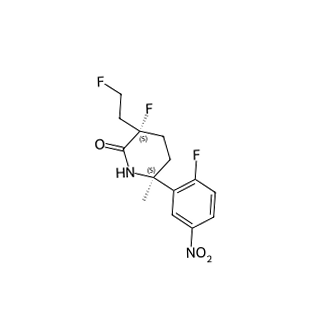 C[C@@]1(c2cc([N+](=O)[O-])ccc2F)CC[C@](F)(CCF)C(=O)N1